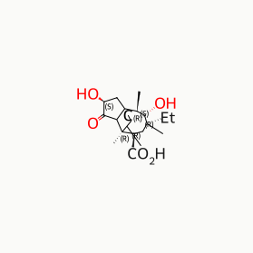 CC[C@]1(C)C[C@@H](C(=O)O)[C@]2(C)C(C)CCC3(C[C@H](O)C(=O)C32)[C@@H](C)[C@@H]1O